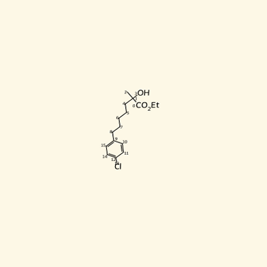 CCOC(=O)C(C)(O)CCCCCc1ccc(Cl)cc1